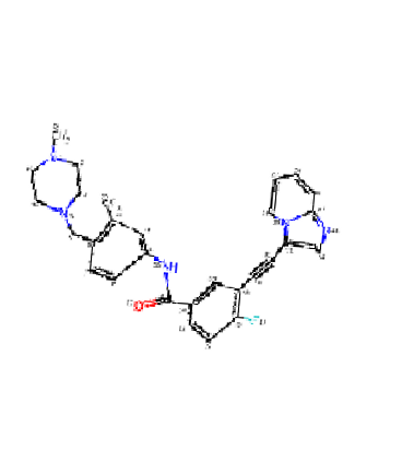 CN1CCN(Cc2ccc(NC(=O)c3ccc(F)c(C#Cc4cnc5ccccn45)c3)cc2C(F)(F)F)CC1